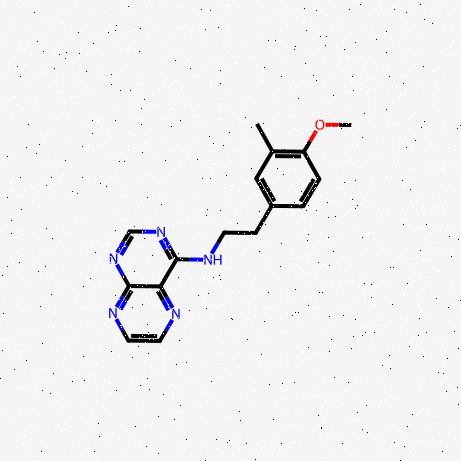 COc1ccc(CCNc2ncnc3nccnc23)cc1C